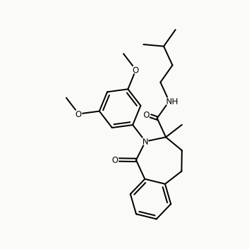 COc1cc(OC)cc(N2C(=O)c3ccccc3CCC2(C)C(=O)NCCC(C)C)c1